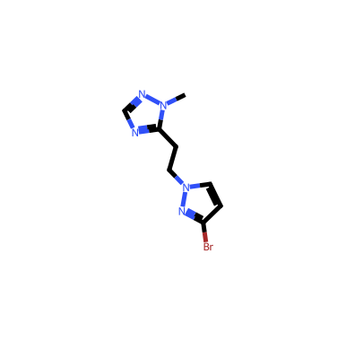 Cn1ncnc1CCn1ccc(Br)n1